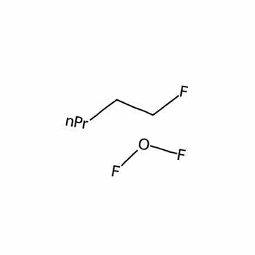 CCCCCF.FOF